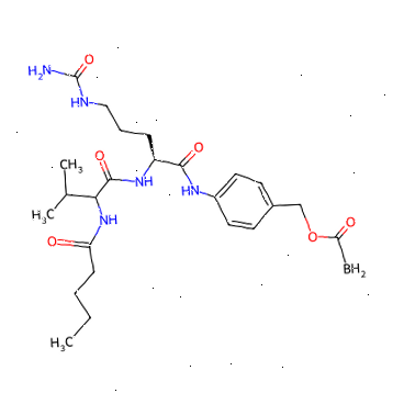 BC(=O)OCc1ccc(NC(=O)[C@H](CCCNC(N)=O)NC(=O)C(NC(=O)CCCC)C(C)C)cc1